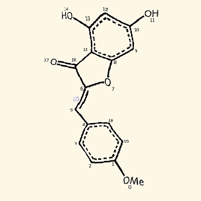 COc1ccc(/C=C2\Oc3cc(O)cc(O)c3C2=O)cc1